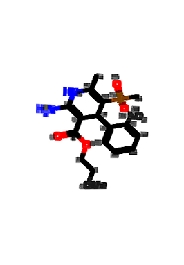 COCCOC(=O)C1=C(N)NC(C)=C(S(C)(=O)=O)C1c1ccccc1[N+](=O)[O-]